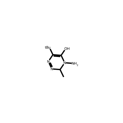 CC1N=NC(C(C)(C)C)=C(O)N1N